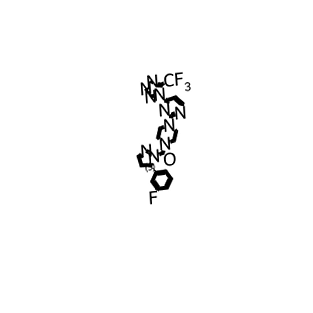 O=C(N1CCN(c2nccc(-n3nnnc3C(F)(F)F)n2)CC1)N1N=CC[C@H]1c1cccc(F)c1